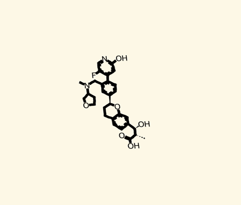 C[C@H](C(=O)O)[C@@H](O)c1ccc2c(c1)O[C@H](c1ccc(-c3cc(O)ncc3F)c(CN(C)C3CCOC3)c1)CC2